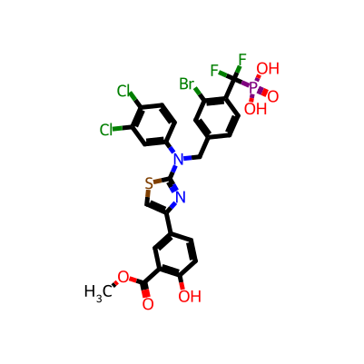 COC(=O)c1cc(-c2csc(N(Cc3ccc(C(F)(F)P(=O)(O)O)c(Br)c3)c3ccc(Cl)c(Cl)c3)n2)ccc1O